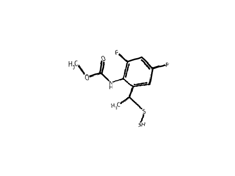 COC(=O)Nc1c(F)cc(F)cc1C(C)SS